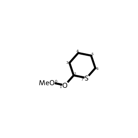 COOC1CCCCS1